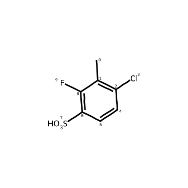 Cc1c(Cl)ccc(S(=O)(=O)O)c1F